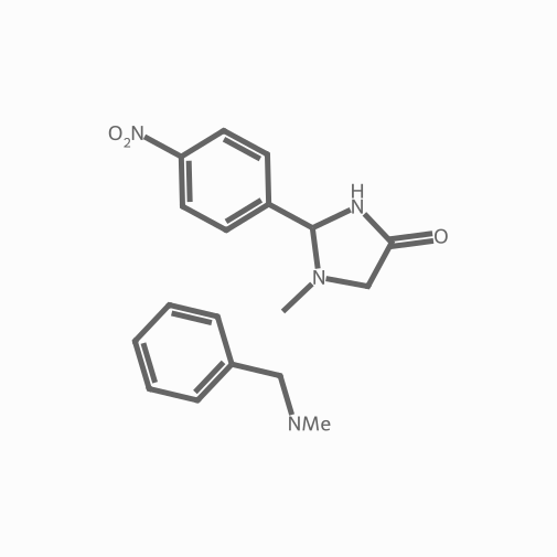 CN1CC(=O)NC1c1ccc([N+](=O)[O-])cc1.CNCc1ccccc1